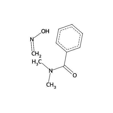 C=NO.CN(C)C(=O)c1ccccc1